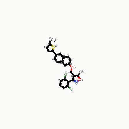 CCCc1onc(-c2c(Cl)cccc2Cl)c1COc1ccc2cc(-c3ccc(C(=O)O)s3)ccc2c1